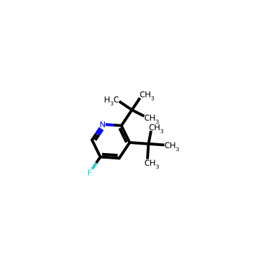 CC(C)(C)c1cc(F)cnc1C(C)(C)C